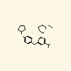 CC[C@H]1O[C@@H](c2cc(Cc3ccc(OC4CCCC4)cc3)cc(C(F)F)c2)[C@H](O)[C@@H](O)[C@@H]1O